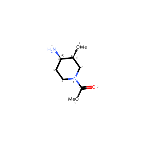 COC(=O)N1CC[C@@H](N)[C@@H](OC)C1